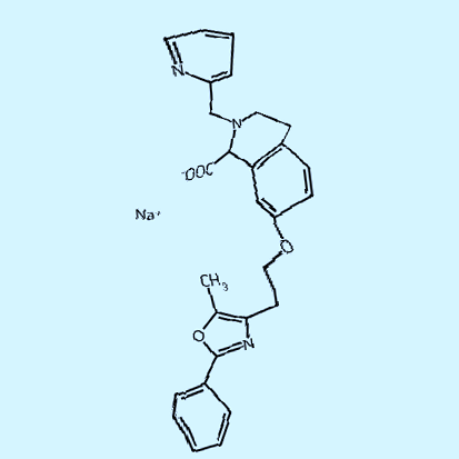 Cc1oc(-c2ccccc2)nc1CCOc1ccc2c(c1)C(C(=O)[O-])N(Cc1ccccn1)CC2.[Na+]